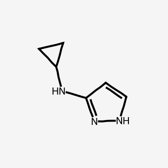 c1cc(NC2CC2)n[nH]1